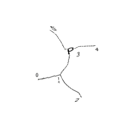 CC(C)P(C)C